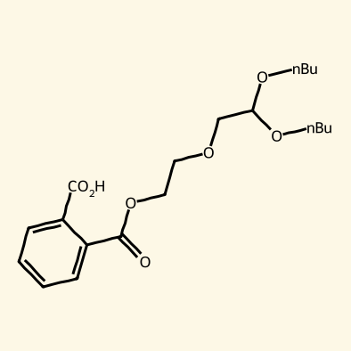 CCCCOC(COCCOC(=O)c1ccccc1C(=O)O)OCCCC